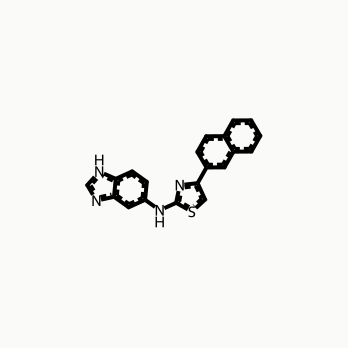 c1ccc2cc(-c3csc(Nc4ccc5[nH]cnc5c4)n3)ccc2c1